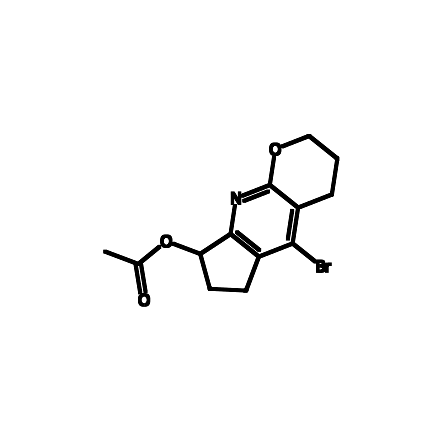 CC(=O)OC1CCc2c1nc1c(c2Br)CCCO1